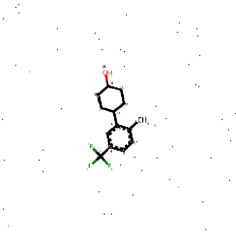 Cc1ccc(C(F)(F)F)cc1C1CCC(O)CC1